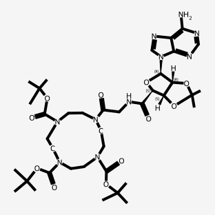 CC(C)(C)OC(=O)N1CCN(C(=O)CNC(=O)[C@H]2O[C@@H](n3cnc4c(N)ncnc43)[C@@H]3OC(C)(C)O[C@@H]32)CCN(C(=O)OC(C)(C)C)CCN(C(=O)OC(C)(C)C)CC1